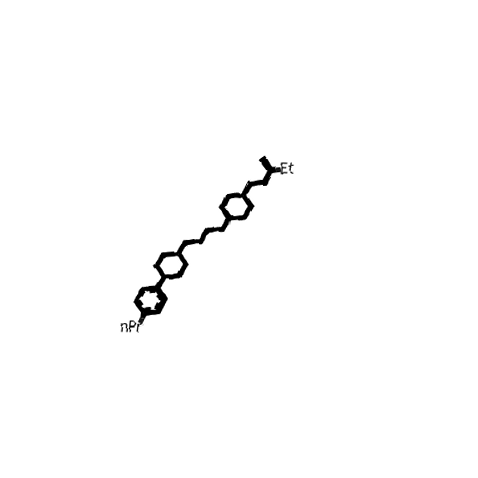 C=C(CC)CCC1CCC(CCCCC2CCC(c3ccc(CCC)cc3)CC2)CC1